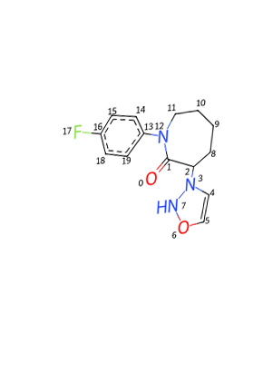 O=C1C(N2C=CON2)CCCCN1c1ccc(F)cc1